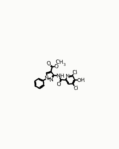 COC(=O)c1cn(-c2ccccc2)nc1NC(=O)c1cc(Cl)c(O)c(Cl)n1